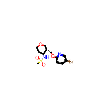 CS(=O)(=O)N[C@H]1CCOC[C@@H]1COc1ccc(Br)cn1